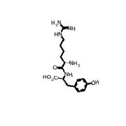 N=C(N)NCCCC[C@H](N)C(=O)N[C@@H](Cc1ccc(O)cc1)C(=O)O